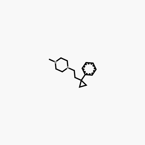 CN1CCN(CCC2(c3ccccc3)CC2)CC1